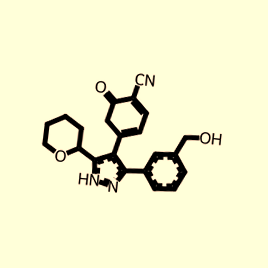 N#CC1=CC=C(c2c(-c3cccc(CO)c3)n[nH]c2C2CCCCO2)CC1=O